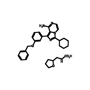 Nc1nccn2c(C3CCCCC3)nc(-c3cccc(OCc4ccccc4)c3)c12.O=C(O)NCC1CCCO1